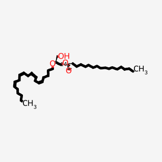 CCCCC/C=C\C/C=C\C/C=C\C/C=C\CCCCO[C@@H](CO)CO[14C](=O)CCCCCCCCCCCCCCCCC